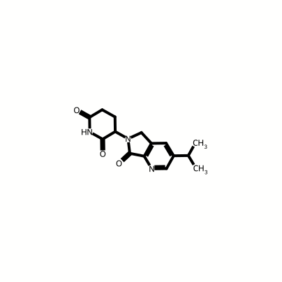 CC(C)c1cnc2c(c1)CN(C1CCC(=O)NC1=O)C2=O